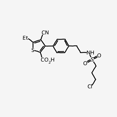 CCc1sc(C(=O)O)c(-c2ccc(CCNS(=O)(=O)CCCCl)cc2)c1C#N